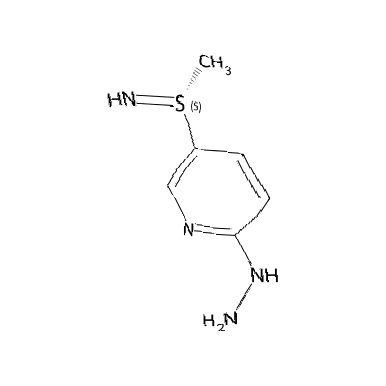 C[S@@](=N)c1ccc(NN)nc1